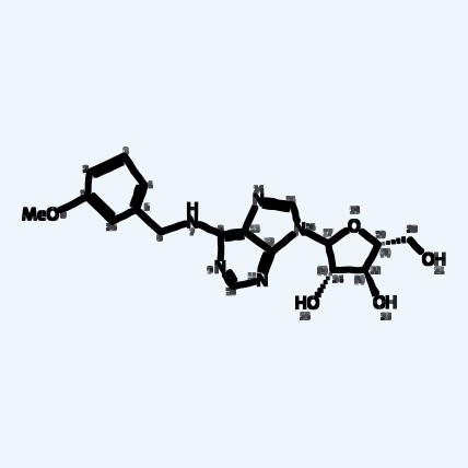 COc1cccc(CNc2ncnc3c2ncn3C2O[C@H](CO)[C@@H](O)[C@@H]2O)c1